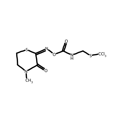 CN1CCSC(=NOC(=O)NCSC(Cl)(Cl)Cl)C1=O